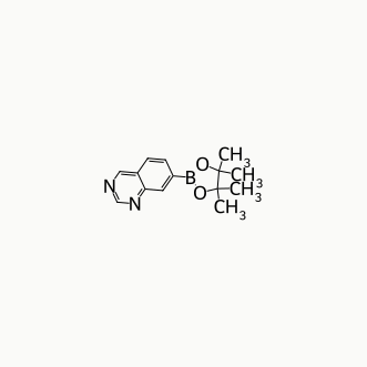 CC1(C)OB(c2ccc3cncnc3c2)OC1(C)C